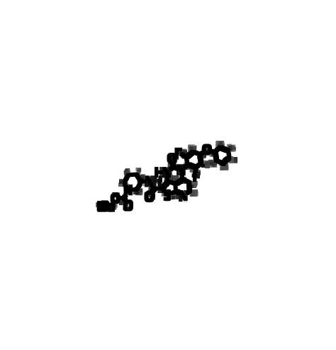 CC(C)(C)OC(=O)N1CCC[C@@H](NC(=O)c2sc3nccc4c3c2NC(=O)N4c2c(F)cc(Oc3ccccc3)cc2F)C1